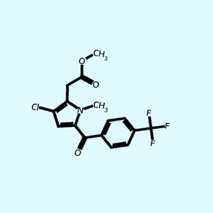 COC(=O)Cc1c(Cl)cc(C(=O)c2ccc(C(F)(F)F)cc2)n1C